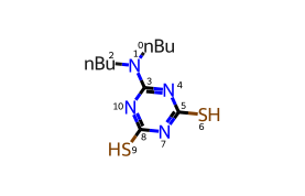 CCCCN(CCCC)c1nc(S)nc(S)n1